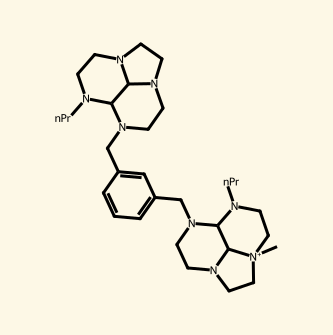 CCCN1CCN2CCN3CCN(Cc4cccc(CN5CCN6CC[N+]7(C)CCN(CCC)C5C67)c4)C1C23